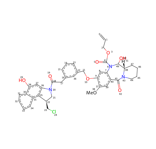 C=CCOC(=O)N1c2cc(OCc3cccc(CC(=O)N4C[C@@H](CCl)c5c4cc(O)c4ccccc54)c3)c(OC)cc2C(=O)N2CCCC[C@H]2C1O